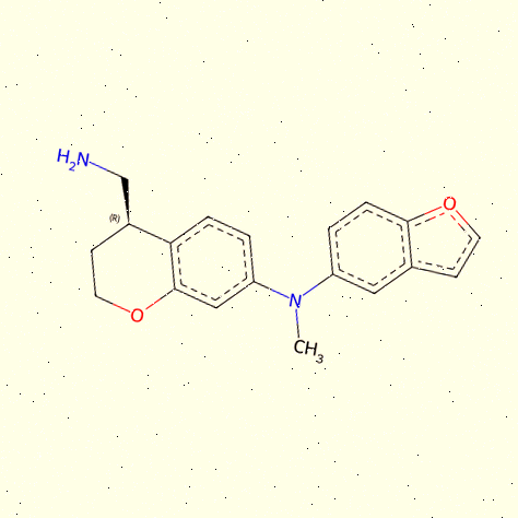 CN(c1ccc2c(c1)OCC[C@H]2CN)c1ccc2occc2c1